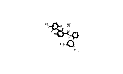 CCOc1ccc(F)c(-c2c(F)ccc(C(=O)Nc3cnccc3N3C[C@H](C)C[C@H](N)C3)c2F)c1F.Cl.Cl